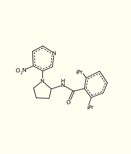 CC(C)c1cccc(C(C)C)c1C(=O)NC1CCCN1c1cnccc1[N+](=O)[O-]